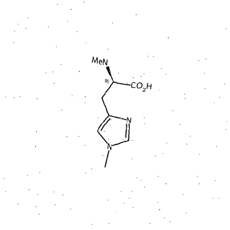 CN[C@H](Cc1cn(C)cn1)C(=O)O